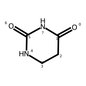 O=C1C[C]NC(=O)N1